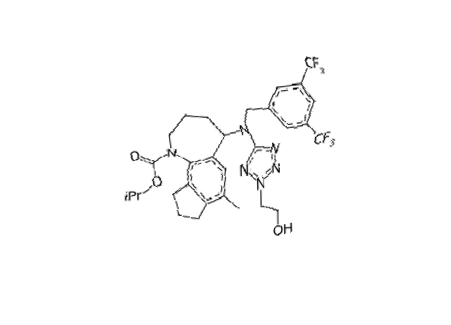 Cc1cc2c(c3c1CCC3)N(C(=O)OC(C)C)CCCC2N(Cc1cc(C(F)(F)F)cc(C(F)(F)F)c1)c1nnn(CCO)n1